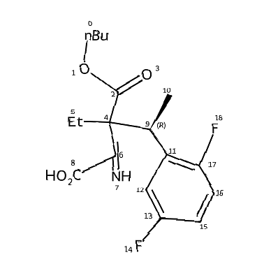 CCCCOC(=O)C(CC)(C(=N)C(=O)O)[C@@H](C)c1cc(F)ccc1F